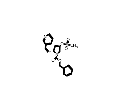 CS(=O)(=O)O[C@@H]1C[C@@H](/C=C\c2cccnc2)N(C(=O)OCc2ccccc2)C1